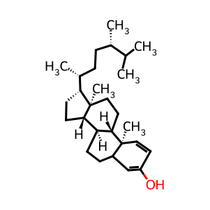 CC(C)[C@@H](C)CC[C@@H](C)[C@H]1CC[C@H]2[C@@H]3CCC4C=C(O)C=C[C@]4(C)[C@H]3CC[C@]12C